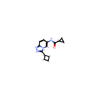 O=C(Nc1ccc2nnc(C3CCC3)n2c1)C1CC1